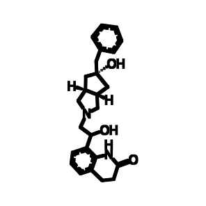 O=C1CCc2cccc(C(O)CN3C[C@@H]4C[C@@](O)(Cc5ccccc5)C[C@@H]4C3)c2N1